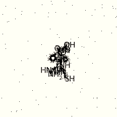 N=C(N)NCCC[C@H](NC(=O)CNCCS)C(=O)N1CCC[C@@H]1C(=O)N[C@@H](Cc1ccccc1)C(=O)NCC(=O)O